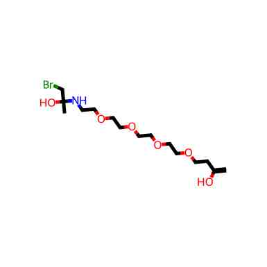 C=C(O)CCOCCOCCOCCOCCNC(C)(O)CBr